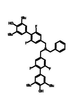 CC(C)(C)c1cc(-c2c(F)cc(CN(Cc3ccccc3)Cc3cc(F)c(-c4cc(C(C)(C)C)c(O)c(C(C)(C)C)c4)c(F)c3)cc2F)cc(C(C)(C)C)c1O